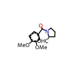 COc1ccc(C(=O)N2CCC[C@H]2[C]=O)cc1OC